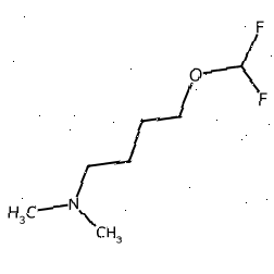 CN(C)CCCCOC(F)F